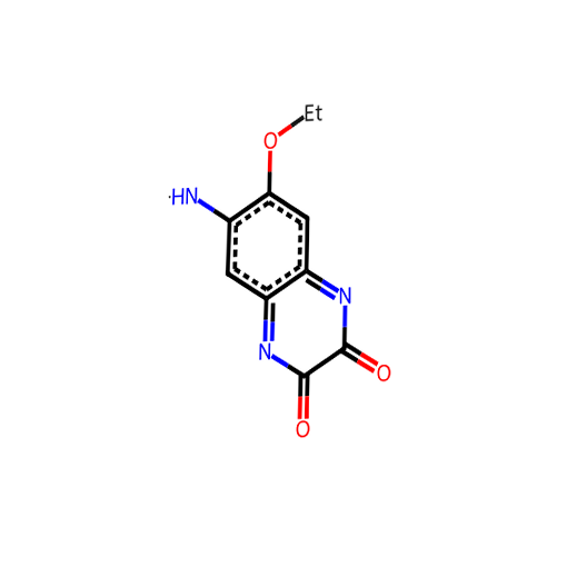 CCOc1cc2c(cc1[NH])=NC(=O)C(=O)N=2